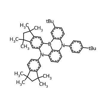 CC(C)(C)c1ccc(N2c3ccc(C(C)(C)C)cc3B3c4cc5c(cc4N(c4ccc6c(c4)C(C)(C)CC6(C)C)c4cccc2c43)C(C)(C)CC5(C)C)cc1